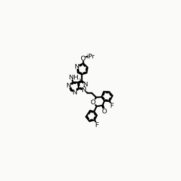 CC(C)Oc1ccc(-c2nn(CCC3OC(c4cccc(F)c4)C(=O)c4c(F)cccc43)c3ncnc(N)c23)cn1